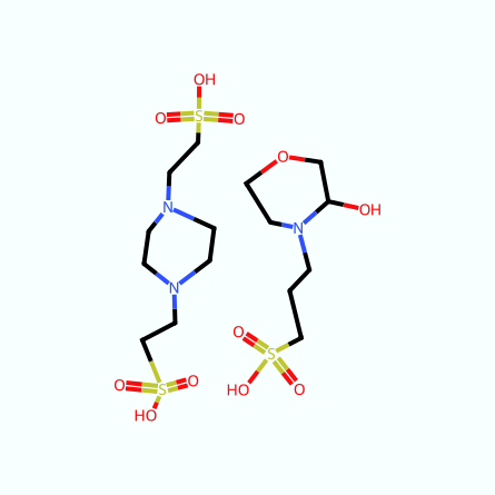 O=S(=O)(O)CCCN1CCOCC1O.O=S(=O)(O)CCN1CCN(CCS(=O)(=O)O)CC1